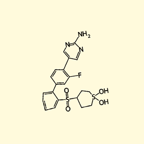 Nc1ncc(-c2ccc(-c3ccccc3S(=O)(=O)C3CCS(O)(O)CC3)cc2F)cn1